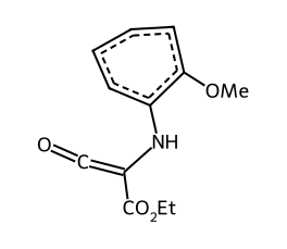 CCOC(=O)C(=C=O)Nc1ccccc1OC